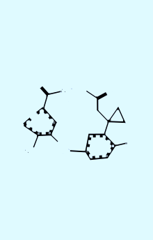 N#Cc1ccc(C(N)=O)cc1C(F)(F)F.O=C(O)C(=O)CC1(c2cc(C(F)(F)F)ccc2F)CC1